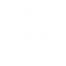 c1ccc2c(c1)-c1cc3ccccc3cc1B1c3cc4ccccc4cc3-c3cc4ccccc4cc3N12